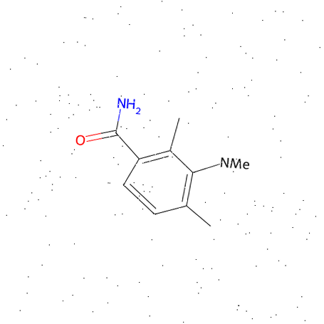 CNc1c(C)ccc(C(N)=O)c1C